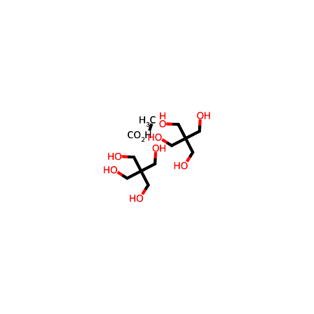 CC(=O)O.OCC(CO)(CO)CO.OCC(CO)(CO)CO